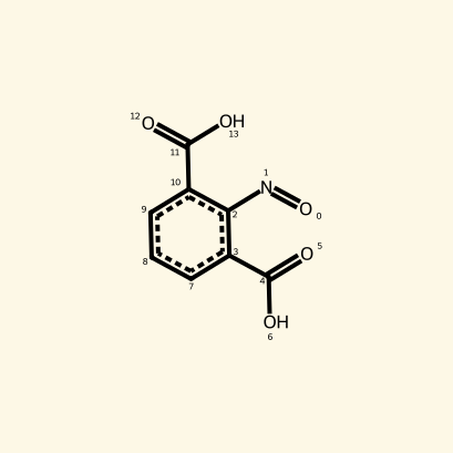 O=Nc1c(C(=O)O)cccc1C(=O)O